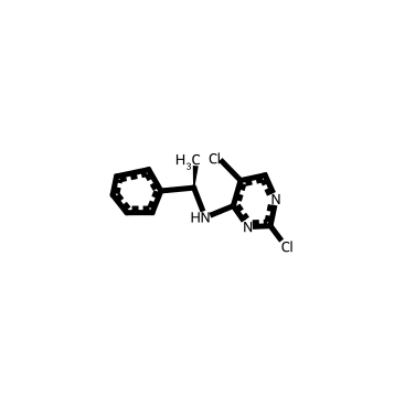 C[C@@H](Nc1nc(Cl)ncc1Cl)c1ccccc1